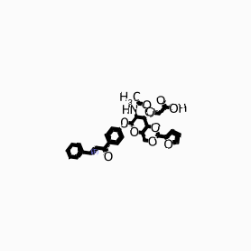 CC(=O)NC1C(Oc2ccc(C(=O)/C=C/c3ccccc3)cc2)OC2COC(c3ccco3)OC2C1OCC(=O)O